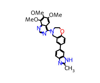 COc1cc2c(N3CCOc4ccc(-c5ccc6nc(C)[nH]c6c5)cc4C3)ncnc2c(OC)c1OC